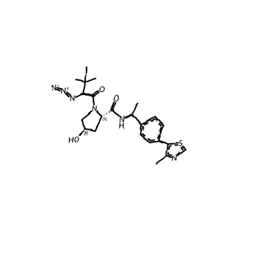 Cc1ncsc1-c1ccc(C(C)NC(=O)[C@@H]2C[C@@H](O)CN2C(=O)C(N=[N+]=[N-])C(C)(C)C)cc1